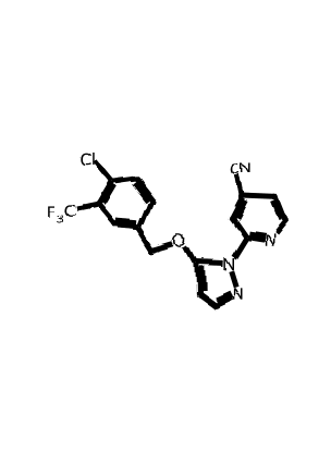 N#Cc1ccnc(-n2nccc2OCc2ccc(Cl)c(C(F)(F)F)c2)c1